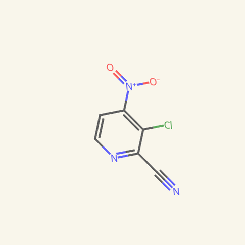 N#Cc1nccc([N+](=O)[O-])c1Cl